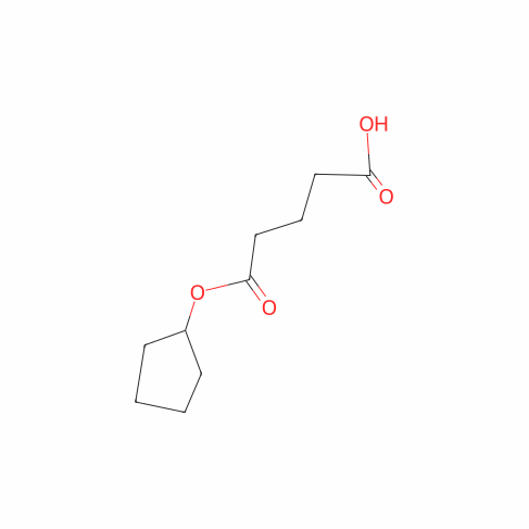 O=C(O)CCCC(=O)OC1CCCC1